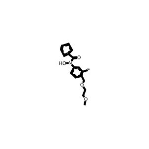 COCCOCc1ccc(N(O)C(=O)c2ccccc2)cc1F